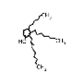 CCCCCCCCCc1c(O)ccc(CCCCCC)c1CCCCCCCC